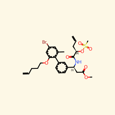 C=CCCCOc1cc(Br)cc(C)c1-c1cccc([C@H](CC(=O)OC)NC(=O)[C@@H](CC=C)OS(C)(=O)=O)c1